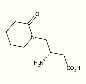 N[C@@H](CC(=O)O)CN1CCCCC1=O